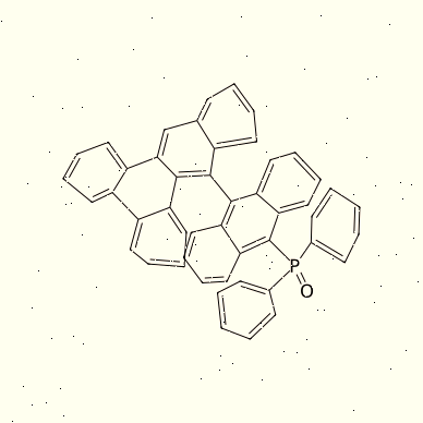 O=P(c1ccccc1)(c1ccccc1)c1c2ccccc2c(-c2c3ccccc3cc3c4ccccc4c4ccccc4c23)c2ccccc12